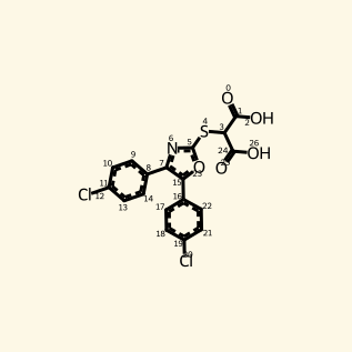 O=C(O)C(Sc1nc(-c2ccc(Cl)cc2)c(-c2ccc(Cl)cc2)o1)C(=O)O